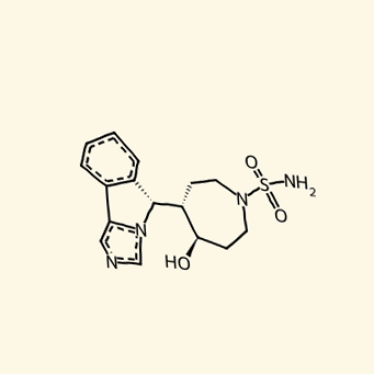 NS(=O)(=O)N1CC[C@@H]([C@H]2c3ccccc3-c3cncn32)[C@H](O)CC1